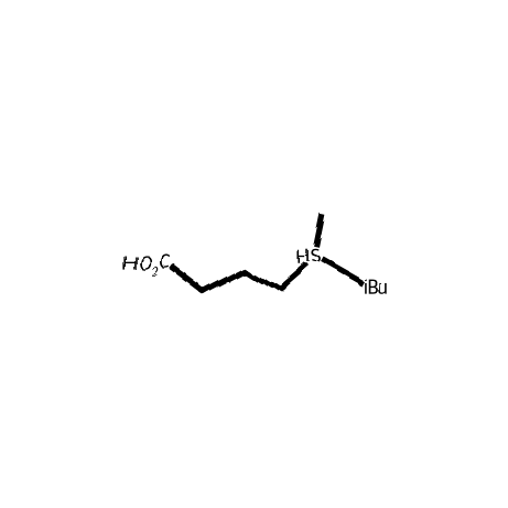 CCC(C)[SH](C)CCCC(=O)O